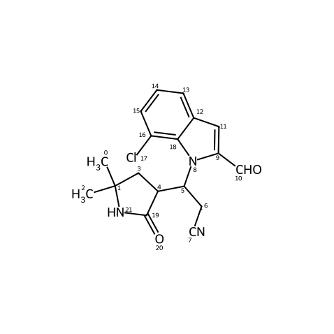 CC1(C)CC(C([CH]C#N)n2c(C=O)cc3cccc(Cl)c32)C(=O)N1